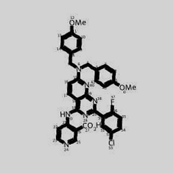 COc1ccc(CN(Cc2ccc(OC)cc2)c2ccc3c(Nc4ccncc4C(=O)O)nc(-c4cc(Cl)ccc4F)nc3n2)cc1